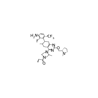 C=CC(=O)N1CCN(c2nc(OCC3CCCN3C)nc3c2CC(C)C(c2c(C(F)(F)F)ccc(N)c2F)C3)C(C)C1